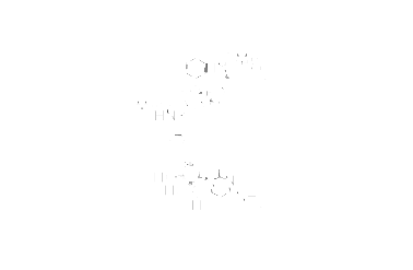 CON[C@@H](CC(=O)O)C(=O)OP(=O)(OC(=O)[C@H](CC(=O)OC[C@H]1O[C@@H](n2ccc(N)nc2=O)[C@](C)(O)[C@@H]1O)NOC)Oc1ccccc1